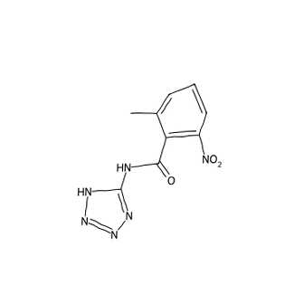 Cc1cccc([N+](=O)[O-])c1C(=O)Nc1nnn[nH]1